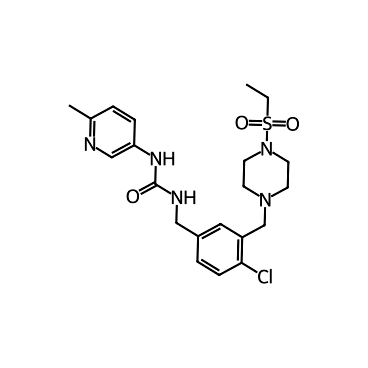 CCS(=O)(=O)N1CCN(Cc2cc(CNC(=O)Nc3ccc(C)nc3)ccc2Cl)CC1